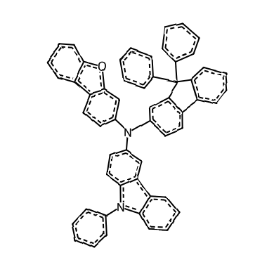 c1ccc(-n2c3ccccc3c3cc(N(c4ccc5c(c4)C(c4ccccc4)(c4ccccc4)c4ccccc4-5)c4ccc5c(c4)oc4ccccc45)ccc32)cc1